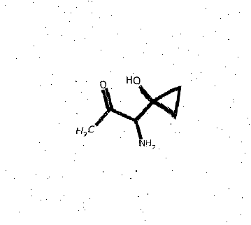 CC(=O)C(N)C1(O)CC1